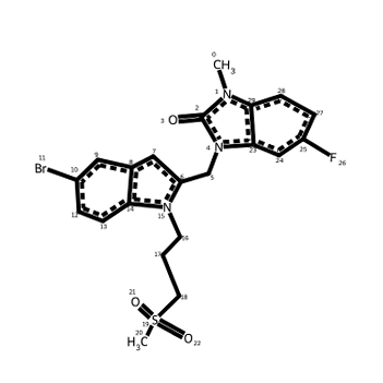 Cn1c(=O)n(Cc2cc3cc(Br)ccc3n2CCCS(C)(=O)=O)c2cc(F)ccc21